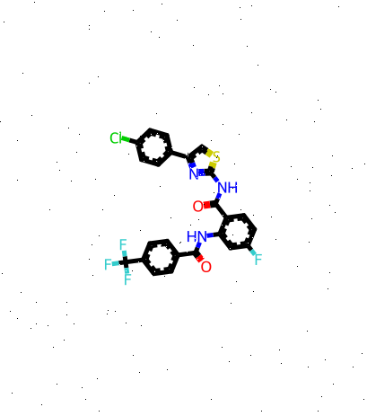 O=C(Nc1cc(F)ccc1C(=O)Nc1nc(-c2ccc(Cl)cc2)cs1)c1ccc(C(F)(F)F)cc1